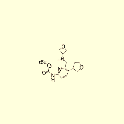 CN(Cc1nc(NC(=O)OC(C)(C)C)ccc1C1CCOC1)C1COC1